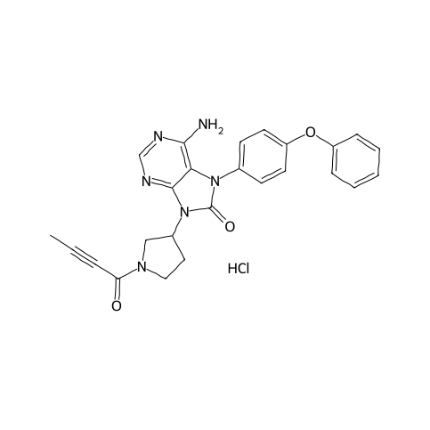 CC#CC(=O)N1CCC(n2c(=O)n(-c3ccc(Oc4ccccc4)cc3)c3c(N)ncnc32)C1.Cl